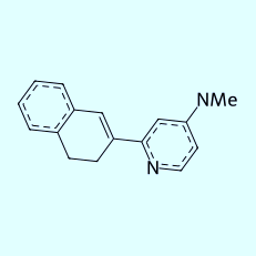 CNc1ccnc(C2=Cc3ccccc3CC2)c1